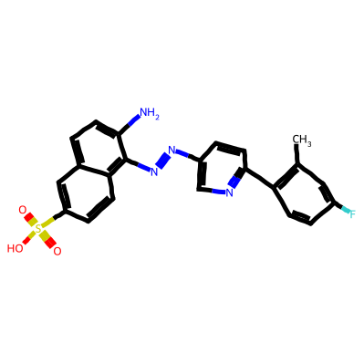 Cc1cc(F)ccc1-c1ccc(/N=N/c2c(N)ccc3cc(S(=O)(=O)O)ccc23)cn1